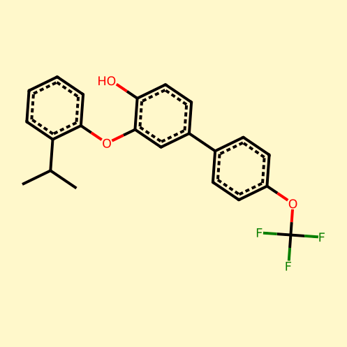 CC(C)c1ccccc1Oc1cc(-c2ccc(OC(F)(F)F)cc2)ccc1O